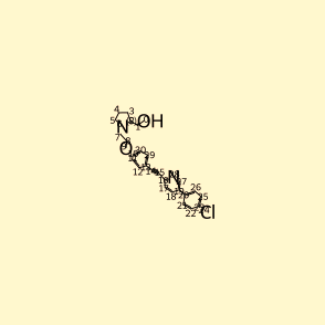 OC[C@@H]1CCCN1CCOc1ccc(C#Cc2ccc(-c3ccc(Cl)cc3)cn2)cc1